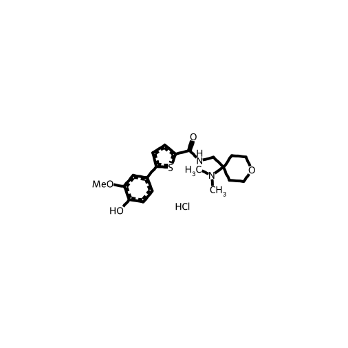 COc1cc(-c2ccc(C(=O)NCC3(N(C)C)CCOCC3)s2)ccc1O.Cl